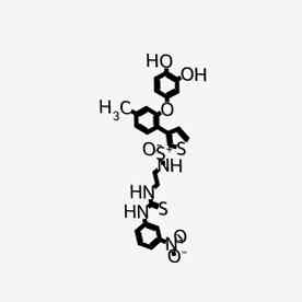 Cc1ccc(-c2ccsc2[S+]([O-])NCCNC(=S)Nc2cccc([N+](=O)[O-])c2)c(Oc2ccc(O)c(O)c2)c1